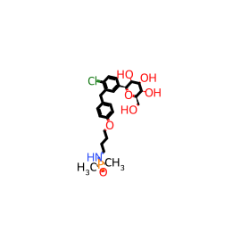 CP(C)(=O)NCCCCOc1ccc(Cc2cc([C@@H]3O[C@H](CO)[C@@H](O)[C@H](O)[C@H]3O)ccc2Cl)cc1